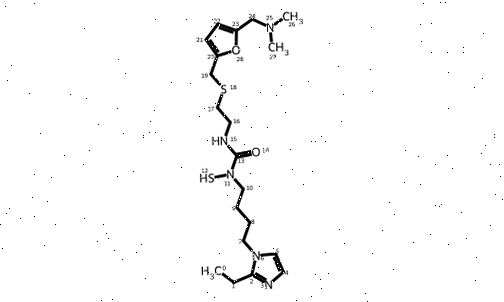 CCc1nccn1CCCCN(S)C(=O)NCCSCc1ccc(CN(C)C)o1